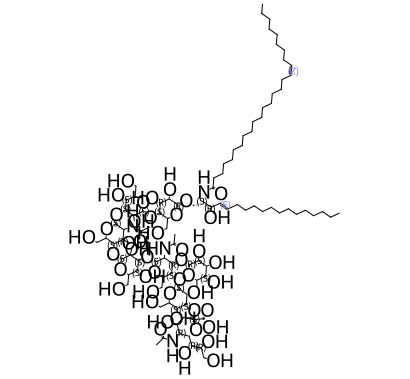 CCCCCCCC/C=C\CCCCCCCCCCCCCCCC(=O)N[C@@H](CO[C@@H]1OC(CO)[C@@H](O[C@@H]2OC(CO)[C@H](O)[C@H](O[C@@H]3OC(CO)[C@@H](O[C@@H]4OC(CO)[C@H](O)[C@H](O[C@@H]5OC(CO)[C@@H](O[C@@H]6OC(CO)[C@H](O)[C@H](O[C@]7(C(=O)O)CC(O)[C@@H](NC(C)=O)C([C@H](O)[C@H](O)CO)O7)C6O)[C@H](O[C@H]6OC(C)[C@@H](O)C(O)[C@@H]6O)C5NC(C)=O)C4O)[C@H](O)C3NC(C)=O)C2O)[C@H](O)C1O)[C@H](O)/C=C/CCCCCCCCCCCCC